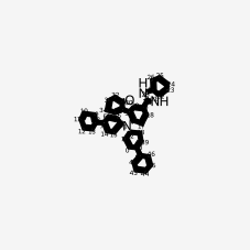 C1=CC(N(c2ccc(-c3ccccc3)cc2)c2ccc(C3Nc4ccccc4N3)c3oc4ccccc4c23)CC=C1c1ccccc1